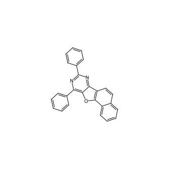 c1ccc(-c2nc(-c3ccccc3)c3oc4c5ccccc5ccc4c3n2)cc1